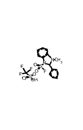 CN1c2ccccc2N(S(=O)(=O)F)C1c1ccccc1.O=S(=O)(O)C(F)(F)F